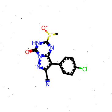 C[S+]([O-])c1nc2c(-c3ccc(Cl)cc3)c(C#N)nn2c(=O)[nH]1